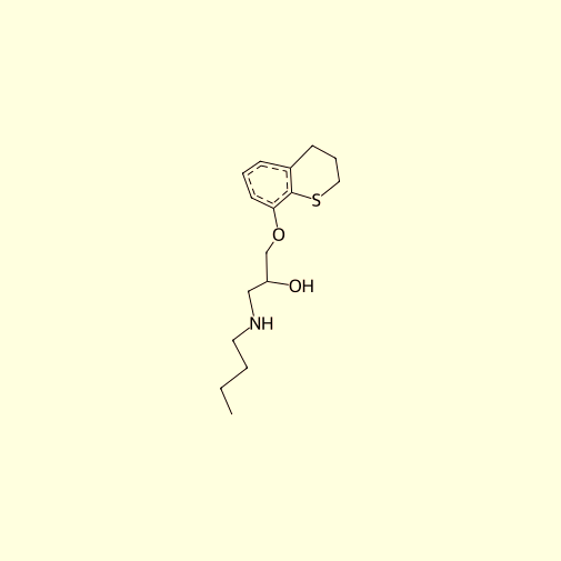 CCCCNCC(O)COc1cccc2c1SCCC2